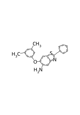 Cc1cc(C)cc(Oc2cc3sc(-c4ccccc4)nc3cc2N)c1